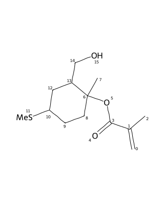 C=C(C)C(=O)OC1(C)CCC(SC)CC1CO